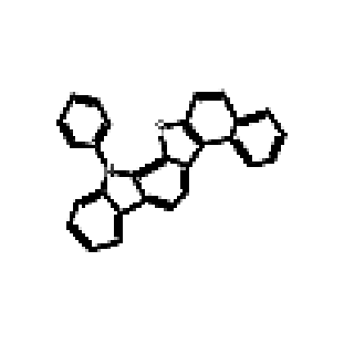 c1ccc(-n2c3ccccc3c3ccc4c(sc5ccc6ccccc6c54)c32)cc1